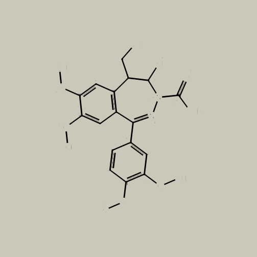 CCC1c2cc(OC)c(OC)cc2C(c2ccc(OC)c(OC)c2)=NN(C(C)=O)C1C